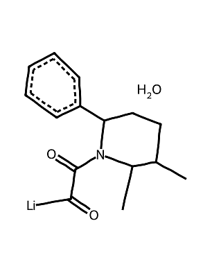 O.[Li][C](=O)C(=O)N1C(c2ccccc2)CCC(C)C1C